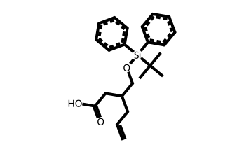 C=CCC(CO[Si](c1ccccc1)(c1ccccc1)C(C)(C)C)CC(=O)O